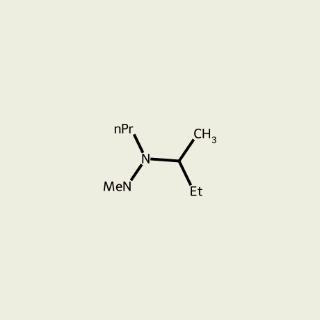 CCCN(NC)C(C)CC